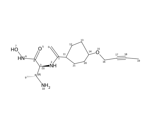 C=C(N[C@H](C(=O)NO)[C@@H](C)N)C1CCC(OCC#CC)CC1